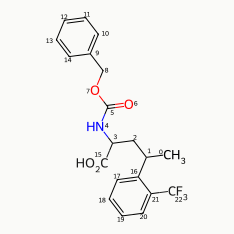 CC(CC(NC(=O)OCc1ccccc1)C(=O)O)c1ccccc1C(F)(F)F